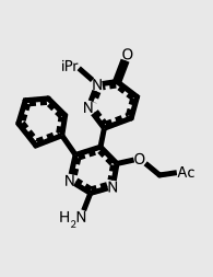 CC(=O)COc1nc(N)nc(-c2ccccc2)c1-c1ccc(=O)n(C(C)C)n1